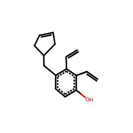 C=Cc1c(O)ccc(CC2CC=CC2)c1C=C